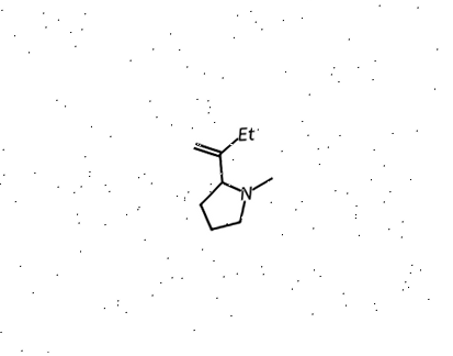 C=C(CC)C1CCCN1C